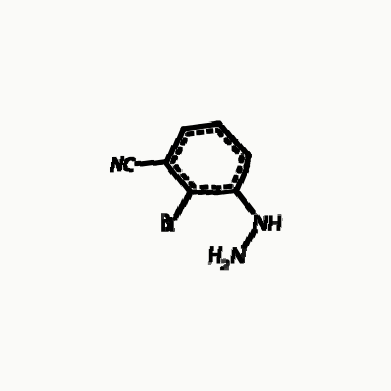 N#Cc1cccc(NN)c1Br